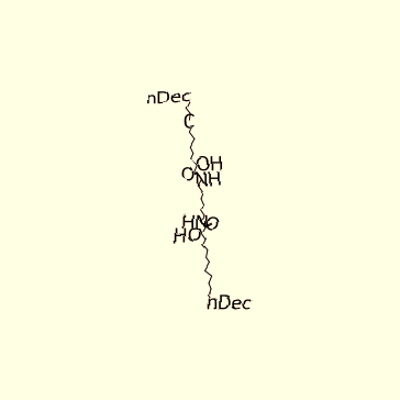 CCCCCCCCCCCCCCCCCCCCC(O)C(=O)NCCCCCCNC(=O)C(O)CCCCCCCCCCCCCCCCCCCC